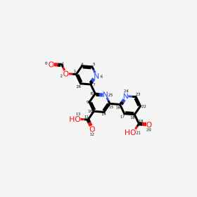 O=COc1ccnc(-c2cc(C(=O)O)cc(-c3cc(C(=O)O)ccn3)n2)c1